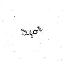 [N-]=[N+]=NC(CF)CNC(=O)c1ccc([N+](=O)[O-])cc1